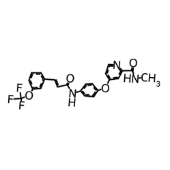 CNC(=O)c1cc(Oc2ccc(NC(=O)C=Cc3cccc(OC(F)(F)F)c3)cc2)ccn1